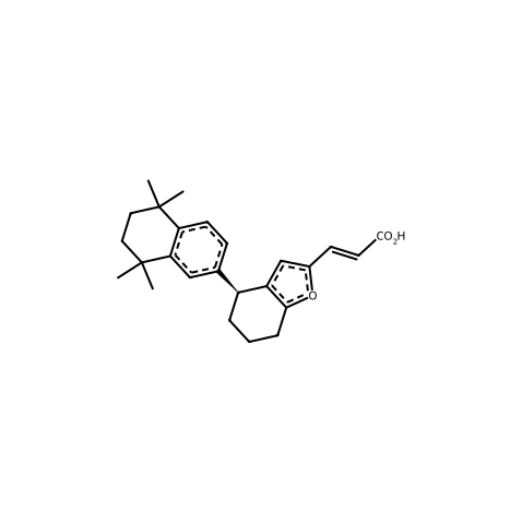 CC1(C)CCC(C)(C)c2cc([C@@H]3CCCc4oc(/C=C/C(=O)O)cc43)ccc21